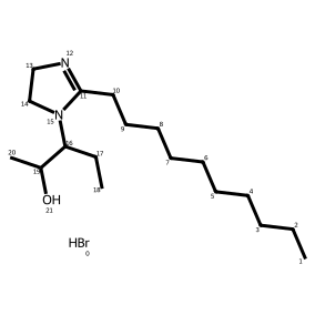 Br.CCCCCCCCCCC1=NCCN1C(CC)C(C)O